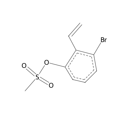 C=Cc1c(Br)cccc1OS(C)(=O)=O